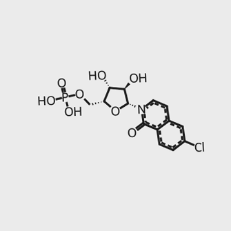 O=c1c2ccc(Cl)cc2ccn1[C@@H]1O[C@H](COP(=O)(O)O)[C@H](O)[C@H]1O